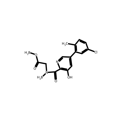 BOC(=O)CN(B)C(=O)c1ncc(-c2cc(Cl)ccc2C)cc1O